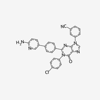 N#Cc1cccc(-n2cnc3c(=O)n(-c4ccc(Cl)cc4)c(-c4ccc(-c5ccc(N)nc5)cc4)nc32)c1